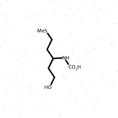 CSCCC(CCO)NC(=O)O